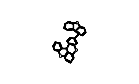 c1ccc2c(c1)Oc1cccc3c1B2c1ccc(-c2cccc4oc5ccccc5c24)cc1O3